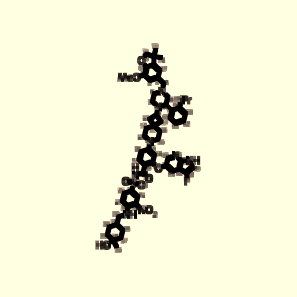 COc1cc(CN2CCN(C3CC4(CCN(c5ccc(C(=O)NS(=O)(=O)c6ccc(NCC7CCC(C)(O)CC7)c([N+](=O)[O-])c6)c(Oc6cnc7[nH]cc(F)c7c6)c5)CC4)C3)[C@H](c3ccccc3C(C)C)C2)cc2c1OCC2(C)C